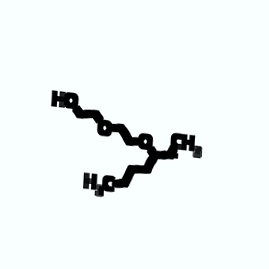 C[CH]C(CCCC)OCCOCCO